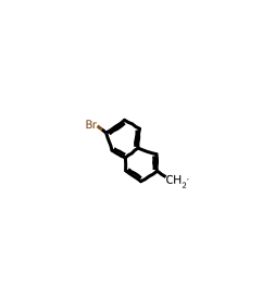 [CH2]c1ccc2cc(Br)ccc2c1